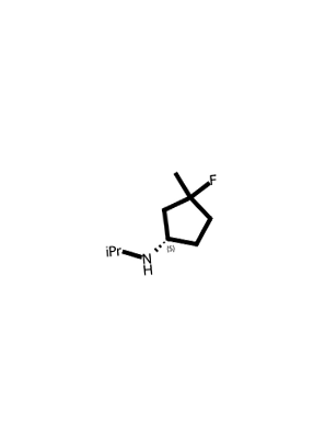 CC(C)N[C@H]1CCC(C)(F)C1